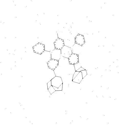 CC(C)(C)c1cc2c3c(c1)N(c1ccccc1)c1ccc(C45CC6CC7CC(C4)C7(C6)C5)cc1B3c1cc(C34CC5CC(CC(C5)C3)C4)ccc1N2c1ccccc1